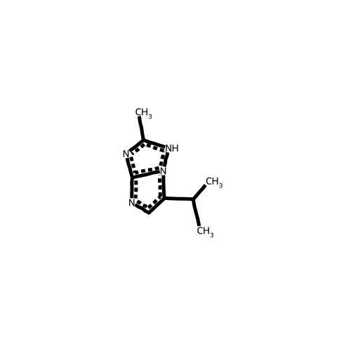 Cc1nc2ncc(C(C)C)n2[nH]1